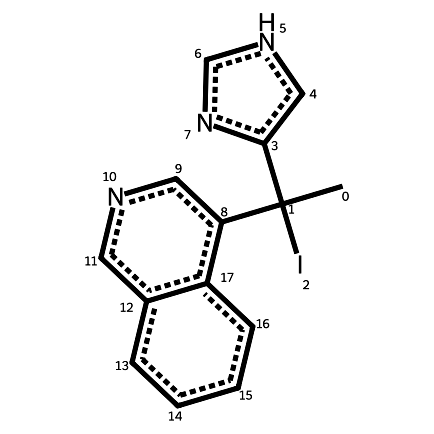 CC(I)(c1c[nH]cn1)c1cncc2ccccc12